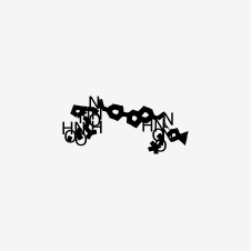 COC(=O)N[C@H](C(=O)N1C2CCC(C2)C1c1ncc(-c2ccc(-c3ccc4cc(C5CN=C([C@@H]6CC7(CC7)CN6C(=O)OC(C)(C)C)N5)ccc4c3)cc2)[nH]1)C(C)C